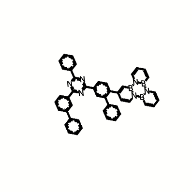 C1=CB2N3C=CC=CB3N3C=CC(c4ccc(-c5nc(-c6ccccc6)nc(-c6cccc(-c7ccccc7)c6)n5)cc4-c4ccccc4)=CB3N2C=C1